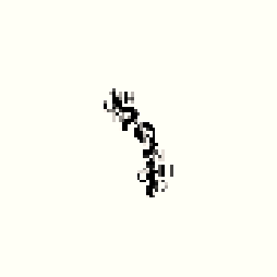 CCC(=O)C(=O)Nc1nc(CN2CCN(c3ccc(C(=O)NC)nc3C)CC2)cs1